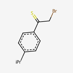 CC(C)c1ccc(C(=S)CBr)cc1